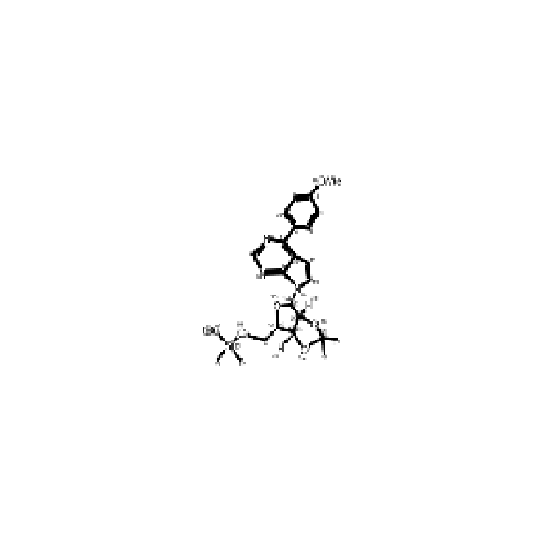 COc1ccc(-c2ncnc3c2ccn3[C@@H]2O[C@H](CO[Si](C)(C)C(C)(C)C)[C@H]3OC(C)(C)O[C@H]32)cc1